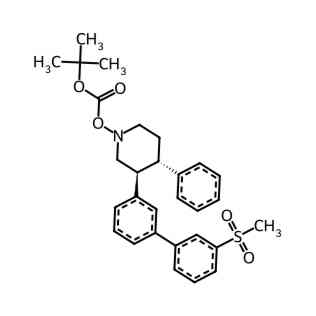 CC(C)(C)OC(=O)ON1CC[C@H](c2ccccc2)[C@@H](c2cccc(-c3cccc(S(C)(=O)=O)c3)c2)C1